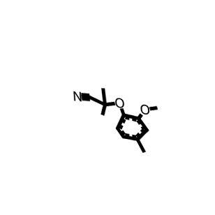 COc1cc(C)ccc1OC(C)(C)C#N